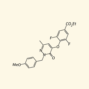 CCOC(=O)c1cc(F)c(Oc2cc(C)nn(Cc3ccc(OC)cc3)c2=O)c(F)c1